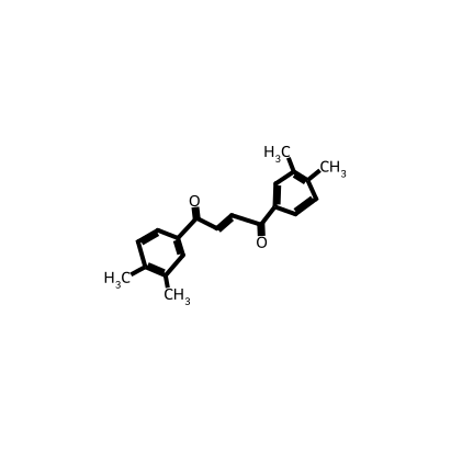 Cc1ccc(C(=O)C=CC(=O)c2ccc(C)c(C)c2)cc1C